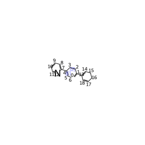 C=C(/C=C\C(=C/C)c1ccccn1)C1=CCCC=C1